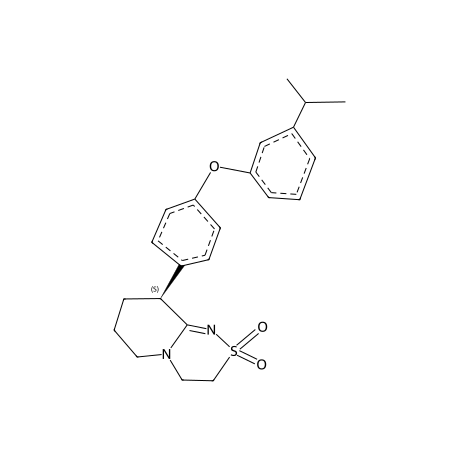 CC(C)c1cccc(Oc2ccc([C@@H]3CCCN4CCS(=O)(=O)N=C34)cc2)c1